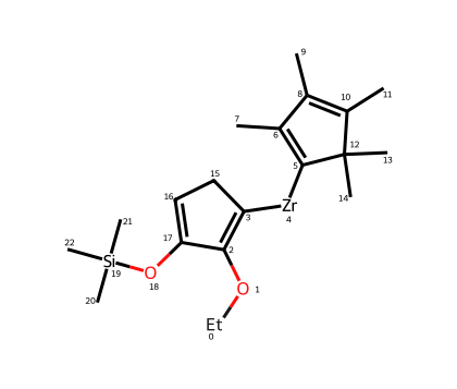 CCOC1=[C]([Zr][C]2=C(C)C(C)=C(C)C2(C)C)CC=C1O[Si](C)(C)C